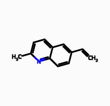 C=Cc1ccc2nc(C)ccc2c1